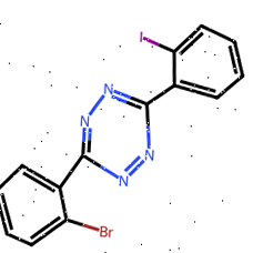 Brc1ccccc1-c1nnc(-c2ccccc2I)nn1